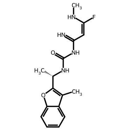 CN/C(F)=C\C(=N)NC(=O)N[C@@H](C)c1oc2ccccc2c1C